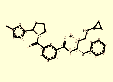 Cc1csc(C2CCCN2C(=O)c2cccc(C(=O)N[C@@H](Cc3ccccc3)[C@H](O)CNC3CC3)c2)n1